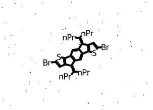 CCCC(CCC)=C1c2cc3c(cc2-c2sc(Br)cc21)C(=C(CCC)CCC)c1cc(Br)sc1-3